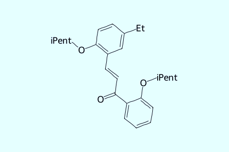 CCCC(C)Oc1ccc(CC)cc1C=CC(=O)c1ccccc1OC(C)CCC